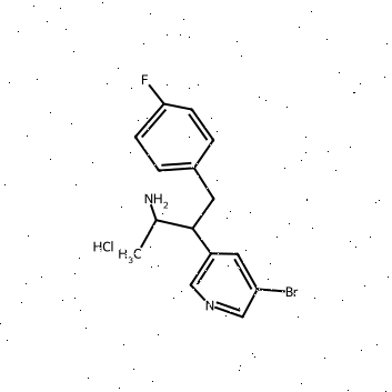 CC(N)C(Cc1ccc(F)cc1)c1cncc(Br)c1.Cl